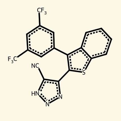 N#Cc1[nH]nnc1-c1sc2ccccc2c1-c1cc(C(F)(F)F)cc(C(F)(F)F)c1